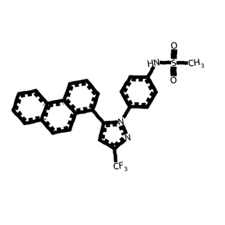 CS(=O)(=O)Nc1ccc(-n2nc(C(F)(F)F)cc2-c2cccc3c2ccc2ccccc23)cc1